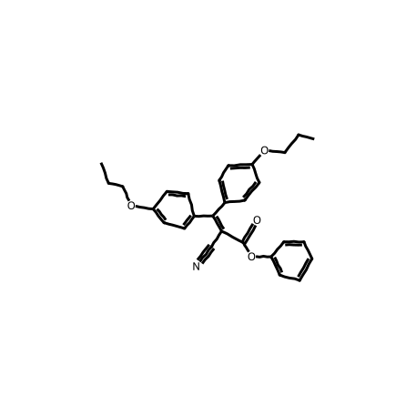 CCCOc1ccc(C(=C(C#N)C(=O)Oc2ccccc2)c2ccc(OCCC)cc2)cc1